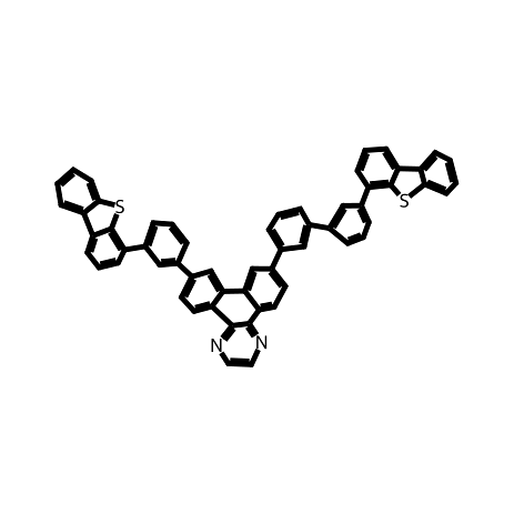 c1cc(-c2cccc(-c3cccc4c3sc3ccccc34)c2)cc(-c2ccc3c(c2)c2cc(-c4cccc(-c5cccc6c5sc5ccccc56)c4)ccc2c2nccnc32)c1